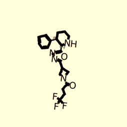 O=C(CCC(F)(F)F)N1CC(c2nnc([C@@H]3NCCC[C@@H]3c3ccccc3)o2)C1